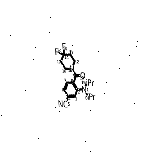 CC(C)N(c1cc(C#N)ccc1C(=O)N1CCC(F)(F)CC1)C(C)C